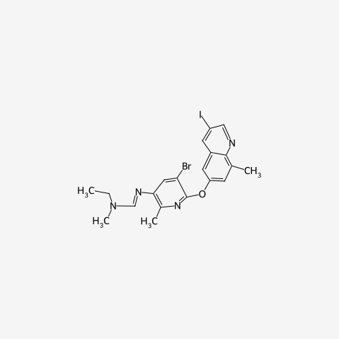 CCN(C)/C=N/c1cc(Br)c(Oc2cc(C)c3ncc(I)cc3c2)nc1C